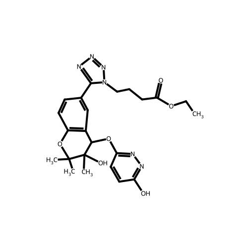 CCOC(=O)CCCn1nnnc1-c1ccc2c(c1)C(Oc1ccc(O)nn1)C(C)(O)C(C)(C)O2